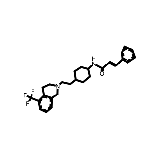 O=C(/C=C/c1ccccc1)NC1CCC(CCN2CCc3c(cccc3C(F)(F)F)C2)CC1